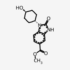 COC(=O)c1ccc2c(c1)[nH]c(=O)n2[C@H]1CC[C@H](O)CC1